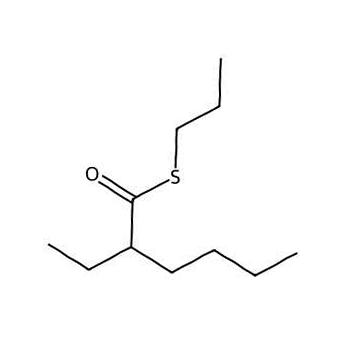 CCCCC(CC)C(=O)SCCC